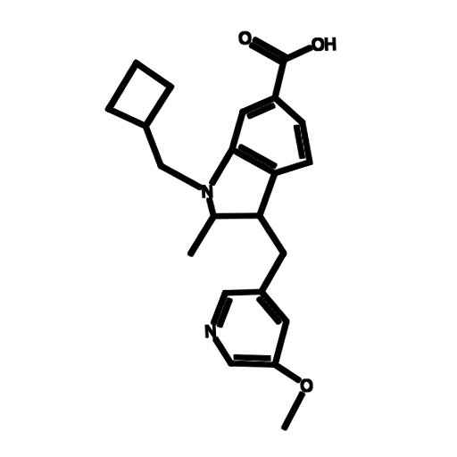 COc1cncc(CC2c3ccc(C(=O)O)cc3N(CC3CCC3)C2C)c1